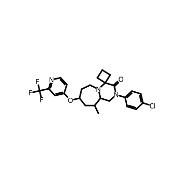 CC1CC(Oc2ccnc(C(F)(F)F)c2)CCN2C1CN(c1ccc(Cl)cc1)C(=O)C21CCC1